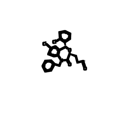 O=[C]CC[C@@H]1O[C@@H](c2ccccc2Cl)c2cc(Cl)ccc2N(Cc2ccccc2)C1=O